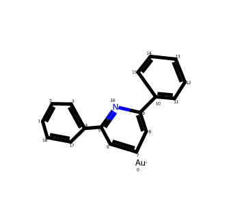 [Au].c1ccc(-c2cccc(-c3ccccc3)n2)cc1